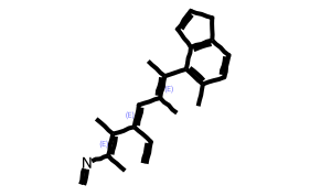 C=CC(=C\C(C)=C(/C)c1c(C)ccc2c1C=CC2)/C(C)=C(\C)N=C